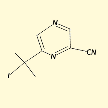 CC(C)(I)c1cncc(C#N)n1